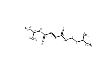 CC(C)CCOC(=O)/C=C/C(=O)OC(C)C